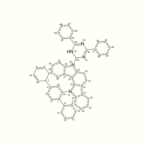 C1=CCC(c2ccc(-c3ccccc3)c(-n3c4ccccc4c4ccc5c(c6ccccc6n5C5N=C(c6ccccc6)N=C(c6ccccc6)N5)c43)c2)C=C1